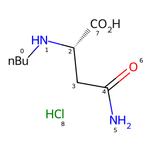 CCCCN[C@@H](CC(N)=O)C(=O)O.Cl